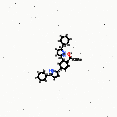 COC(=O)c1ccc(-c2ccc(-c3ccccc3)[nH]2)cc1-c1ccc(-c2ccccc2)[nH]1